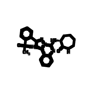 CS(=N)(=O)c1ccccc1-c1nc2c3ccccc3nc(N[C@@H]3CCCCNC3=O)n2n1